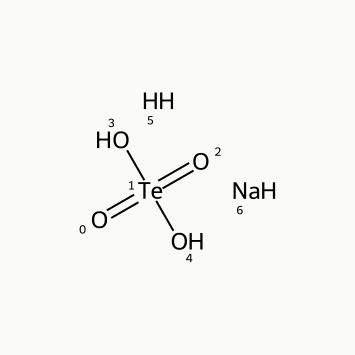 O=[Te](=O)(O)O.[HH].[NaH]